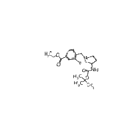 CCOC(=O)c1ccc(CN2CCC(NC(=O)OC(C)(C)C)C2)c(F)c1